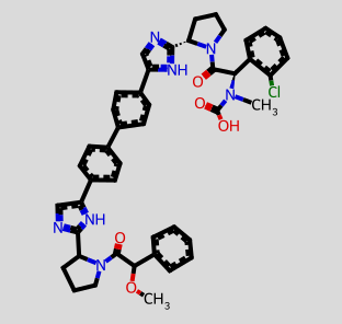 COC(C(=O)N1CCCC1c1ncc(-c2ccc(-c3ccc(-c4cnc([C@@H]5CCCN5C(=O)[C@@H](c5ccccc5Cl)N(C)C(=O)O)[nH]4)cc3)cc2)[nH]1)c1ccccc1